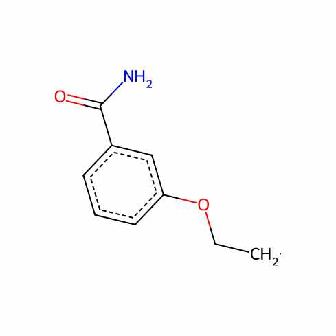 [CH2]COc1cccc(C(N)=O)c1